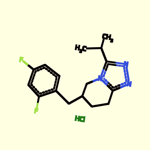 CC(C)c1nnc2n1CC(Cc1ccc(F)cc1F)CC2.Cl